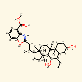 CC[C@@H]1C2C[C@H](O)CCC2(C)[C@H]2CCC3(C)[C@@H]([C@H](C)Cc4nc5c(C(=O)OC)cccc5o4)CC[C@H]3[C@@H]2[C@@H]1O